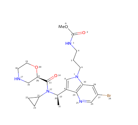 COC(=O)NCCCn1cc([C@@H](C)N(C(=O)[C@H]2CNCCO2)C2CC2)c2ncc(Br)cc21